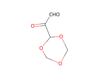 O=CC(=O)C1OCOCO1